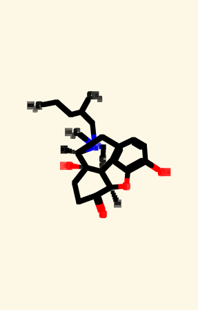 CCCC(C)C[N+]1(C)CC[C@]23c4c5ccc(O)c4O[C@H]2C(=O)CC[C@@]3(O)[C@H]1C5